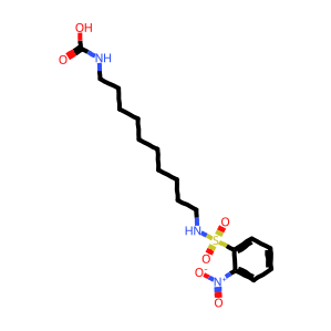 O=C(O)NCCCCCCCCCCNS(=O)(=O)c1ccccc1[N+](=O)[O-]